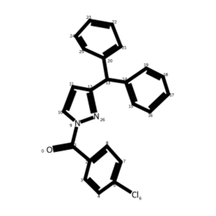 O=C(c1ccc(Cl)cc1)n1ccc(C(c2ccccc2)c2ccccc2)n1